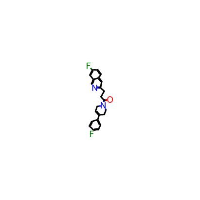 O=C(CCc1cc2ccc(F)cc2cn1)N1CC=C(c2ccc(F)cc2)CC1